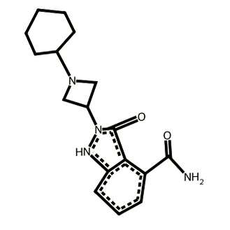 NC(=O)c1cccc2[nH]n(C3CN(C4CCCCC4)C3)c(=O)c12